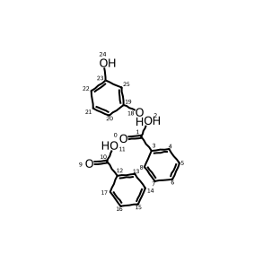 O=C(O)c1ccccc1.O=C(O)c1ccccc1.Oc1cccc(O)c1